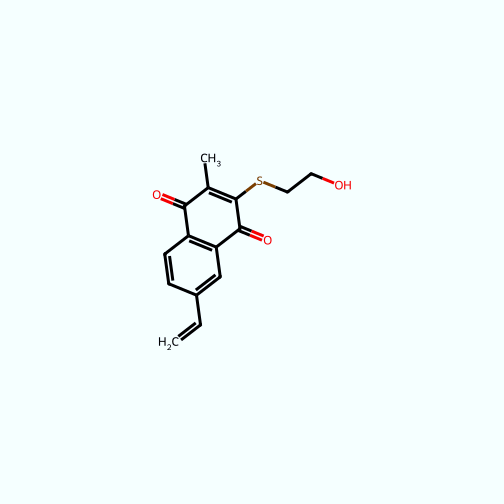 C=Cc1ccc2c(c1)C(=O)C(SCCO)=C(C)C2=O